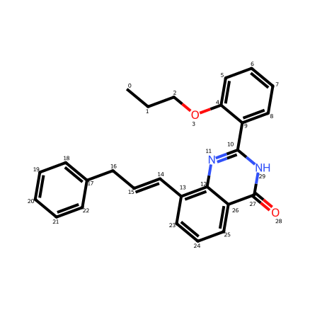 CCCOc1ccccc1-c1nc2c(C=CCc3ccccc3)cccc2c(=O)[nH]1